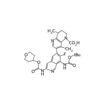 Cc1c(-c2cc3cc(NC(=O)OC4CCOCC4)ncc3c(NC(=O)OC(C)(C)C)c2F)cnc2c1N(C(=O)O)CCC2C